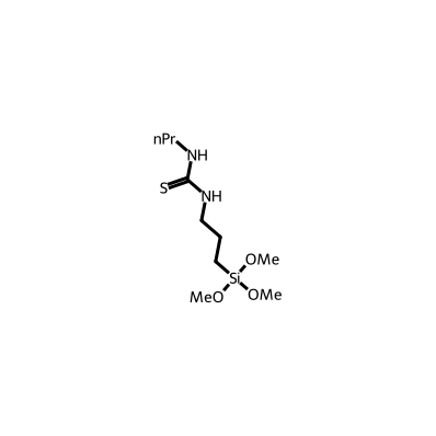 CCCNC(=S)NCCC[Si](OC)(OC)OC